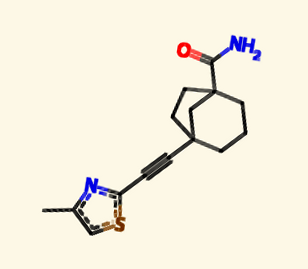 Cc1csc(C#CC23CCCC(C(N)=O)(CC2)C3)n1